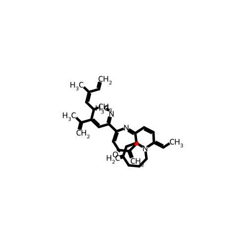 C=C/C(C)=C\C(C)/C(=C\C(=N/C)C1=CC(=O)C(=C)CC(/C=C\C(=C/C)N2CCCC(=C)CC2)=N1)C(=C)C